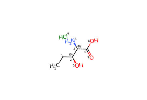 CC[C@H](O)[C@@H](N)C(=O)O.Cl